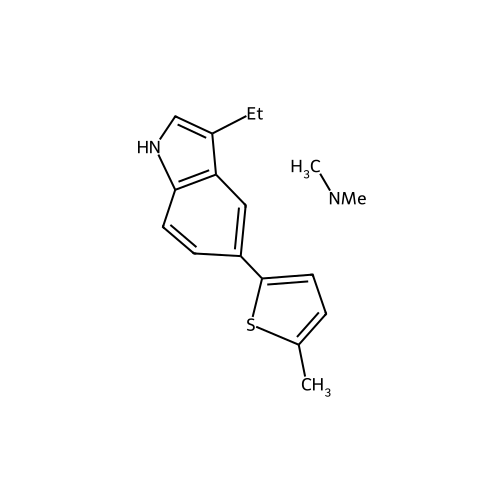 CCc1c[nH]c2ccc(-c3ccc(C)s3)cc12.CNC